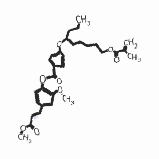 C=C(C)C(=O)OCCCCCC(CCC)Oc1ccc(C(=O)Oc2ccc(/C=C/C(=O)OC)cc2OC)cc1